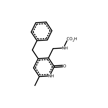 Cc1cc(Cc2ccccc2)c(CNC(=O)O)c(=O)[nH]1